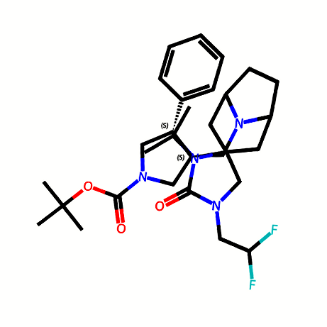 CC(C)N1C(=O)N(CC(F)F)CC12CC1CCC(C2)N1C[C@H]1CN(C(=O)OC(C)(C)C)C[C@@H]1c1ccccc1